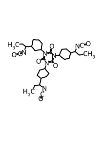 CCC(N=C=O)C1CCC(n2c(=O)n(C3CCC(C(CC)N=C=O)CC3)c(=O)n(C3CCCC(C(CC)N=C=O)C3)c2=O)CC1